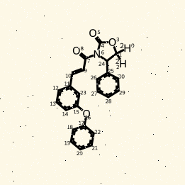 [2H]C1([2H])OC(=O)N(C(=O)C=Cc2cccc(Oc3ccccc3)c2)C1c1ccccc1